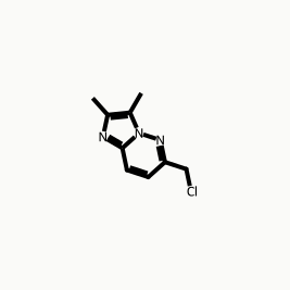 Cc1nc2ccc(CCl)nn2c1C